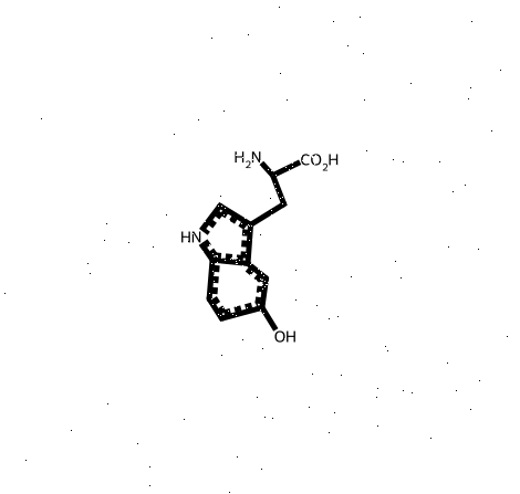 NC(Cc1c[nH]c2ccc(O)cc12)C(=O)O